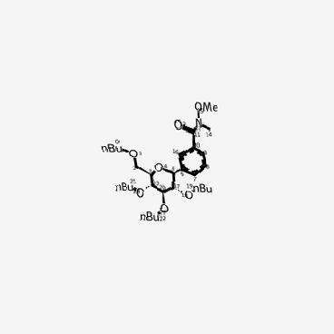 CCCCOC[C@H]1O[C@@H](c2cccc(C(=O)N(C)OC)c2)[C@H](OCCCC)[C@@H](OCCCC)[C@@H]1OCCCC